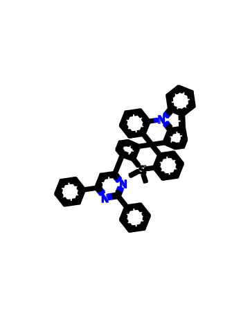 C[Si]1(C)c2ccccc2C2(c3ccccc3-n3c4ccccc4c4cccc2c43)c2cccc(-c3cc(-c4ccccc4)nc(-c4ccccc4)n3)c21